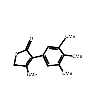 COC1=C(c2cc(OC)c(OC)c(OC)c2)C(=O)OC1